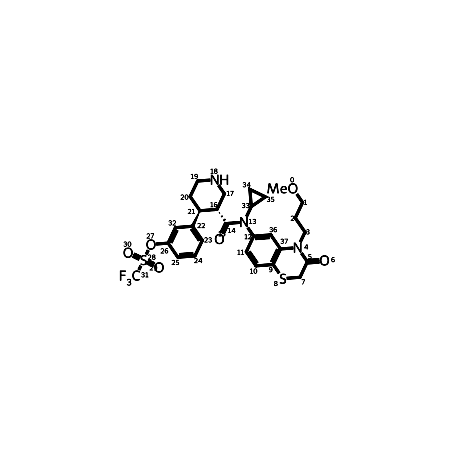 COCCCN1C(=O)CSc2ccc(N(C(=O)[C@H]3CNCC[C@@H]3c3cccc(OS(=O)(=O)C(F)(F)F)c3)C3CC3)cc21